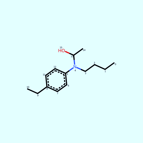 CCCCN(c1ccc(CC)cc1)C(C)O